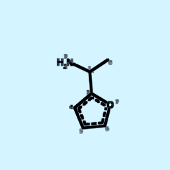 C[C](N)c1ccco1